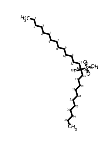 CCCCCCCCCCCCCCC(F)(CCCCCCCCCCC)S(=O)(=O)O